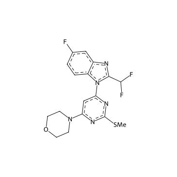 CSc1nc(N2CCOCC2)cc(-n2c(C(F)F)nc3cc(F)ccc32)n1